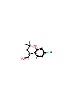 CC1(C)CC(C=O)c2ccc(F)cc2O1